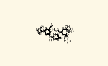 CN(c1nc(Nc2cc(C#N)cc(-c3nnnn3C)c2)ncc1F)C1CC(C)(C)NC(C)(C)C1